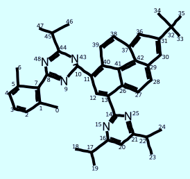 Cc1cccc(C)c1-c1nc(-c2cc(-c3nc(C(C)C)cc(C(C)C)n3)c3ccc4cc(C(C)(C)C)cc5ccc2c3c45)nc(C(C)C)n1